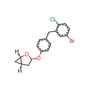 Clc1ccc(Br)cc1Cc1ccc(O[C@H]2C[C@@H]3C[C@@H]3O2)cc1